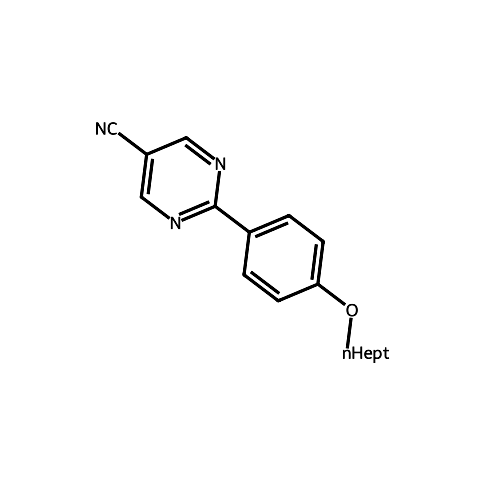 CCCCCCCOc1ccc(-c2ncc(C#N)cn2)cc1